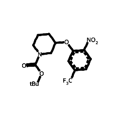 CC(C)(C)OC(=O)N1CCCC(Oc2cc(C(F)(F)F)ccc2[N+](=O)[O-])C1